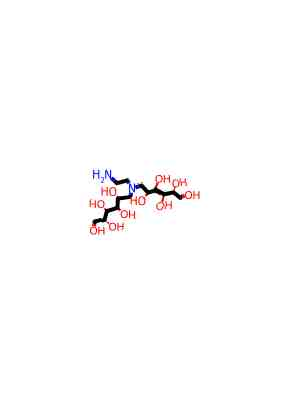 NCCN(C[C@H](O)[C@@H](O)[C@H](O)[C@H](O)CO)C[C@H](O)[C@@H](O)[C@H](O)[C@H](O)CO